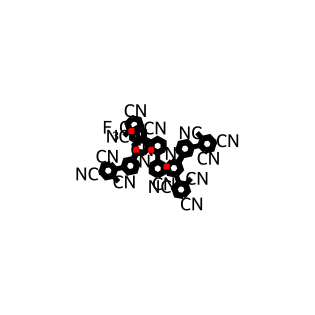 N#Cc1cc(C#N)c(-c2ccc3c(c2)c2cc(-c4c(C#N)cc(C#N)cc4C#N)ccc2n3-c2ccc(-c3ccc(C(F)(F)F)cc3C#N)cc2-c2ccc(C#N)cc2-n2c3ccc(-c4c(C#N)cc(C#N)cc4C#N)cc3c3cc(-c4c(C#N)cc(C#N)cc4C#N)ccc32)c(C#N)c1